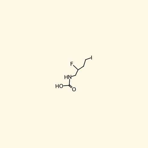 O=C(O)NCC(F)CCI